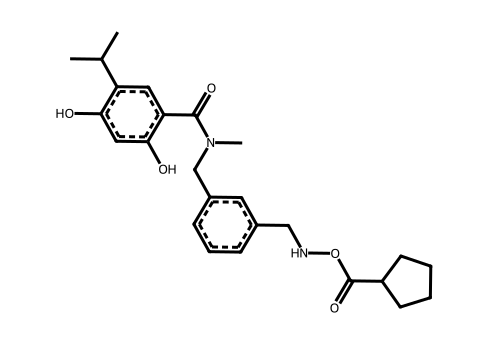 CC(C)c1cc(C(=O)N(C)Cc2cccc(CNOC(=O)C3CCCC3)c2)c(O)cc1O